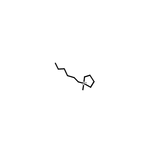 CCCCCC[N+]1(C)CCCC1